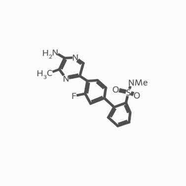 CNS(=O)(=O)c1ccccc1-c1ccc(-c2cnc(N)c(C)n2)c(F)c1